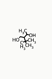 CC(O)C(CO)C(C)(C)C